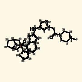 CN1CCN(C(=O)Cn2cc(Nc3nc4c(N5CC6CCC(C5)N6C(=O)c5cccs5)cccn4n3)cn2)CC1